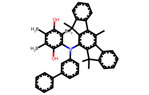 Bc1c(B)c(O)c(N(c2cccc(-c3ccccc3)c2)c2c3c(c(C)c4c2C(C)(C)c2ccccc2-4)-c2ccccc2C3(C)C)c(B)c1O